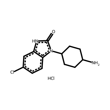 Cl.NC1CCC(n2c(=O)[nH]c3cc(Cl)ccc32)CC1